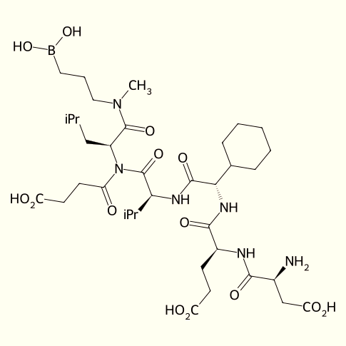 CC(C)C[C@@H](C(=O)N(C)CCCB(O)O)N(C(=O)CCC(=O)O)C(=O)[C@@H](NC(=O)[C@@H](NC(=O)[C@H](CCC(=O)O)NC(=O)[C@@H](N)CC(=O)O)C1CCCCC1)C(C)C